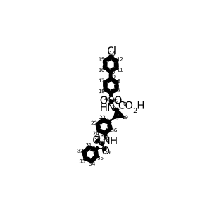 O=C(O)[C@@]1(NS(=O)(=O)c2ccc(-c3ccc(Cl)cc3)cc2)C[C@H]1c1cccc(NS(=O)(=O)c2ccccc2)c1